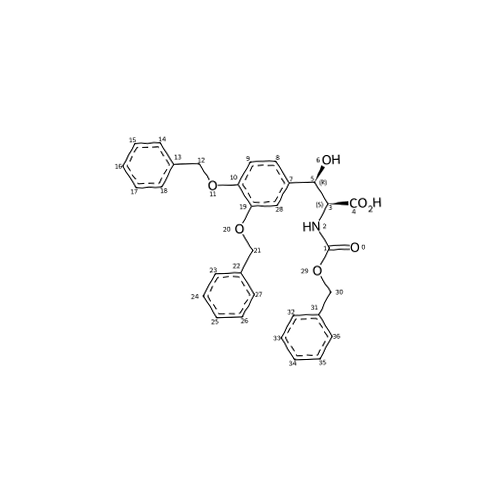 O=C(N[C@H](C(=O)O)[C@H](O)c1ccc(OCc2ccccc2)c(OCc2ccccc2)c1)OCc1ccccc1